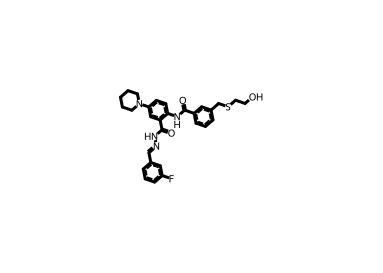 O=C(Nc1ccc(N2CCCCC2)cc1C(=O)NN=Cc1cccc(F)c1)c1cccc(CSCCO)c1